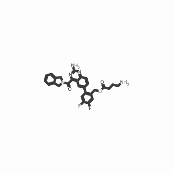 NCCCC(=O)OCc1cc(F)c(F)cc1-c1ccc2nc(N)nc(C(=O)N3Cc4ccccc4C3)c2c1